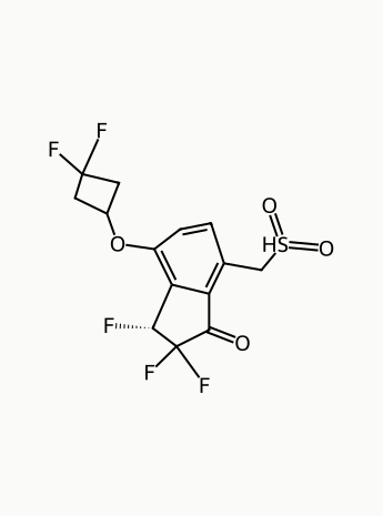 O=C1c2c(C[SH](=O)=O)ccc(OC3CC(F)(F)C3)c2[C@@H](F)C1(F)F